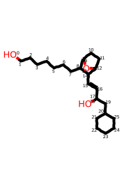 OCCCCCCCC1C2CCC(O2)C1C=CC(O)CC1CCCCC1